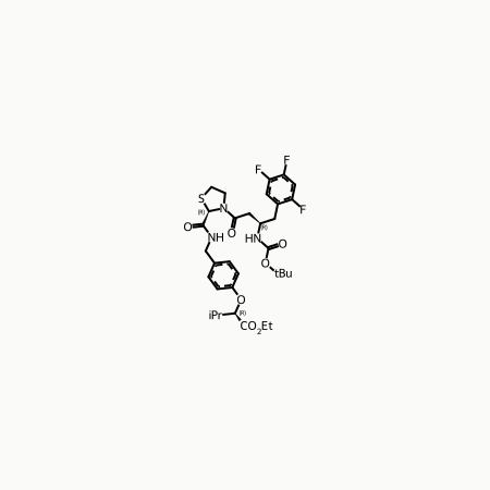 CCOC(=O)[C@H](Oc1ccc(CNC(=O)[C@H]2SCCN2C(=O)C[C@@H](Cc2cc(F)c(F)cc2F)NC(=O)OC(C)(C)C)cc1)C(C)C